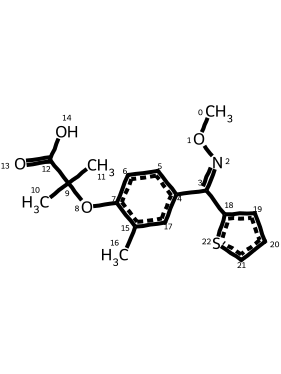 CO/N=C(\c1ccc(OC(C)(C)C(=O)O)c(C)c1)c1cccs1